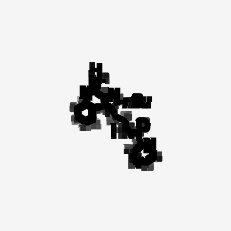 CCCCc1nc2c(N)nc3ccccc3c2n1CCNC(=O)c1cnccn1